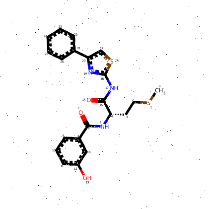 CSCC[C@H](NC(=O)c1cccc(O)c1)C(=O)Nc1nc(-c2ccccc2)cs1